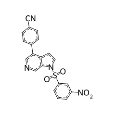 N#Cc1ccc(-c2cncc3c2ccn3S(=O)(=O)c2cccc([N+](=O)[O-])c2)cc1